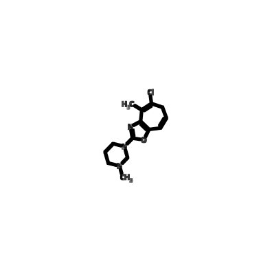 CC1=C(Cl)CC=Cc2oc(N3CCCN(C)C3)nc21